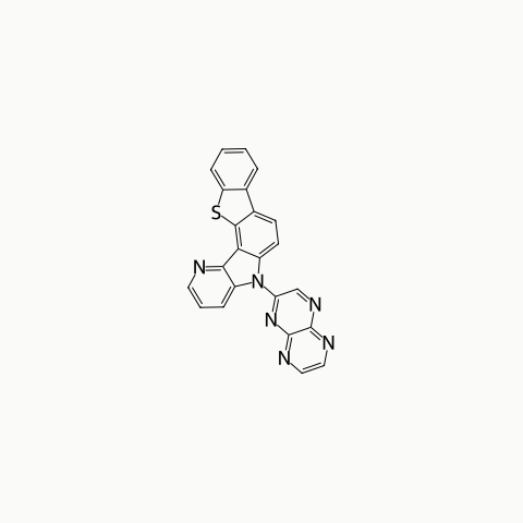 c1ccc2c(c1)sc1c2ccc2c1c1ncccc1n2-c1cnc2nccnc2n1